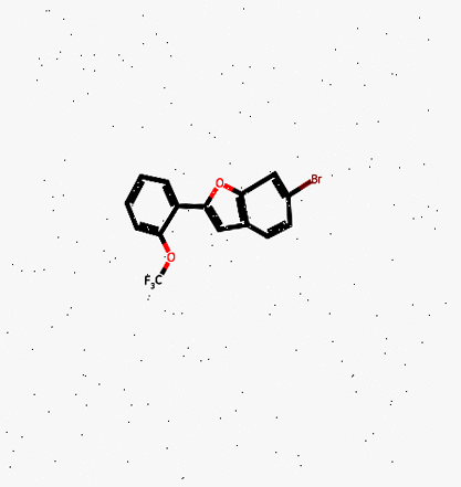 FC(F)(F)Oc1ccccc1-c1cc2ccc(Br)cc2o1